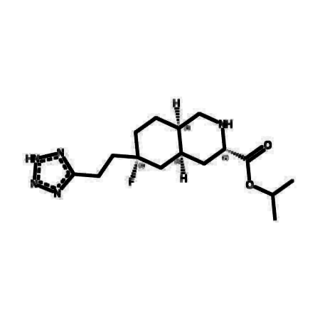 CC(C)OC(=O)[C@@H]1C[C@H]2C[C@@](F)(CCc3nn[nH]n3)CC[C@H]2CN1